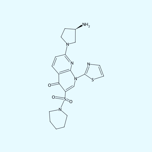 N[C@@H]1CCN(c2ccc3c(=O)c(S(=O)(=O)N4CCCCC4)cn(-c4nccs4)c3n2)C1